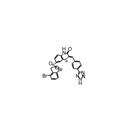 O=C1Nc2ccc(S(=O)(=O)Cc3c(Br)cccc3Br)cc2SC1=Cc1ccc(-c2nn[nH]n2)cc1